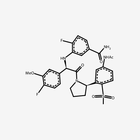 COc1cc([C@@H](Nc2cc(C(N)=O)ccc2F)C(=O)N2CCC[C@@H]2c2cc(NC(C)=O)ccc2S(C)(=O)=O)ccc1F